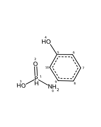 N[PH](=O)O.Oc1ccccc1